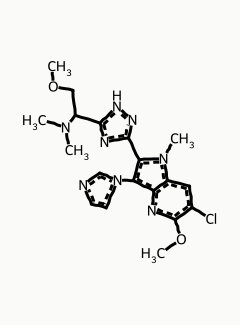 COCC(c1nc(-c2c(-n3ccnc3)c3nc(OC)c(Cl)cc3n2C)n[nH]1)N(C)C